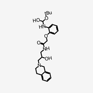 CC(C)(C)OC(O)Nc1ccccc1OCC(=O)NCC(O)CN1CCc2ccccc2C1